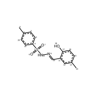 Cc1ccc(S(=O)(=O)N/N=C/c2cc(C)ccc2O)cc1